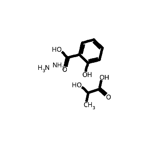 CC(O)C(=O)O.N.N.O=C(O)c1ccccc1O